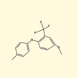 COc1ccc(Oc2ccc(C)cc2)c(C(F)(F)F)c1